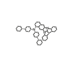 c1ccc(-c2ccc(N(c3ccc(-c4ccccc4)cc3)c3cccc4cc5c(cc34)n3c4ccccc4c4c6ccccc6n5c43)cc2)cc1